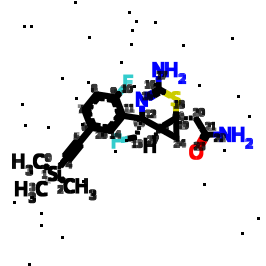 C[Si](C)(C)C#Cc1ccc(F)c([C@@]2(CF)N=C(N)S[C@@]3(CC(N)=O)C[C@H]32)c1